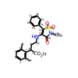 Cc1cccc(C)c1C(CCNC1=C(c2ccccc2)S(=O)(=O)N(C(C)(C)C)C1=O)C(=O)O